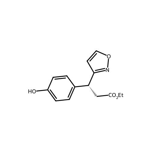 CCOC(=O)C[C@H](c1ccc(O)cc1)c1ccon1